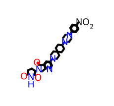 O=C1CCC(N2Cc3ncc(N4CCC5(CCC(N6CCN(c7ccc([N+](=O)[O-])cc7)CC6)CC5)CC4)cc3C2=O)C(=O)N1